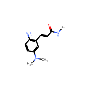 CCNC(=O)C=Cc1cc(N(C)C)ccc1N